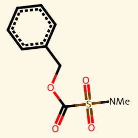 CNS(=O)(=O)C(=O)OCc1ccccc1